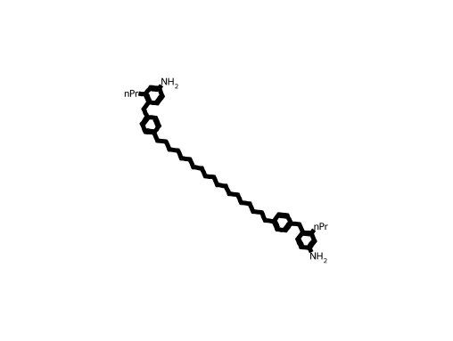 CCCc1cc(N)ccc1Cc1ccc(CCCCCCCCCCCCCCCCCCCc2ccc(Cc3ccc(N)cc3CCC)cc2)cc1